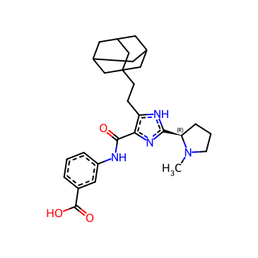 CN1CCC[C@@H]1c1nc(C(=O)Nc2cccc(C(=O)O)c2)c(CCC23CC4CC(CC(C4)C2)C3)[nH]1